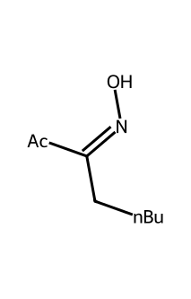 CCCCCC(=NO)C(C)=O